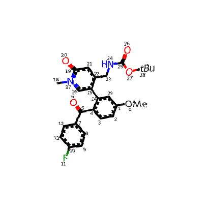 COc1ccc(C(=O)c2ccc(F)cc2)c(-c2cn(C)c(=O)cc2CNC(=O)OC(C)(C)C)c1